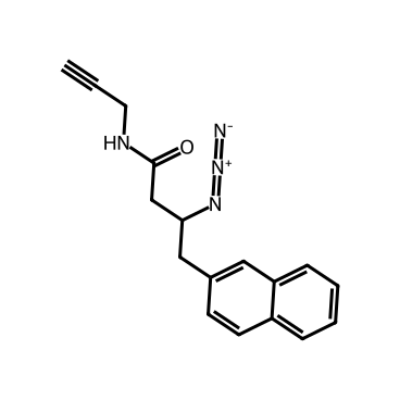 C#CCNC(=O)CC(Cc1ccc2ccccc2c1)N=[N+]=[N-]